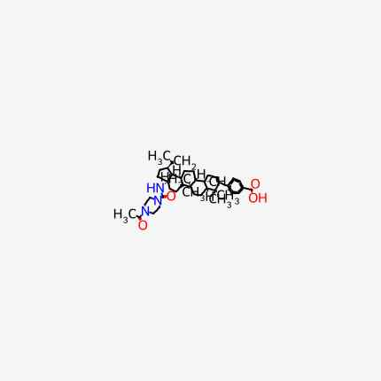 C=C(C)[C@@H]1CC[C@]2(NC(=O)N3CCN(C(C)=O)CC3)CC[C@]3(C)[C@H](CC[C@@H]4[C@@]5(C)CC=C(c6ccc(C(=O)O)cc6)C(C)(C)[C@@H]5CC[C@]43C)[C@@H]12